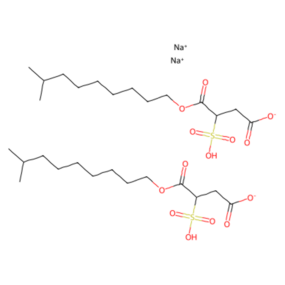 CC(C)CCCCCCCOC(=O)C(CC(=O)[O-])S(=O)(=O)O.CC(C)CCCCCCCOC(=O)C(CC(=O)[O-])S(=O)(=O)O.[Na+].[Na+]